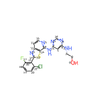 OCCNc1cc(Nc2nccc3nc(-c4c(F)cccc4Cl)sc23)ncn1